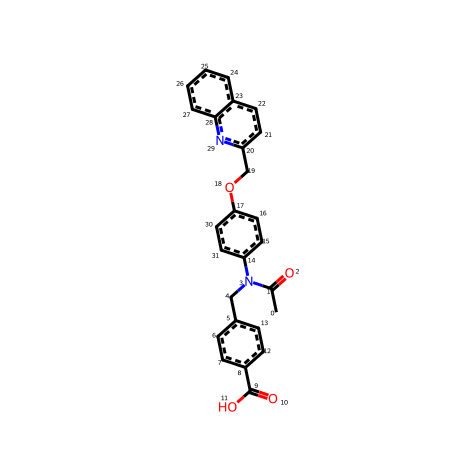 CC(=O)N(Cc1ccc(C(=O)O)cc1)c1ccc(OCc2ccc3ccccc3n2)cc1